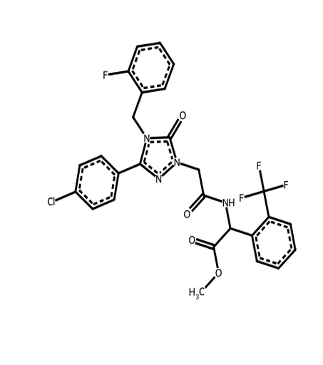 COC(=O)C(NC(=O)Cn1nc(-c2ccc(Cl)cc2)n(Cc2ccccc2F)c1=O)c1ccccc1C(F)(F)F